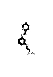 CNCCOc1cccc(OCC2CCCCO2)c1